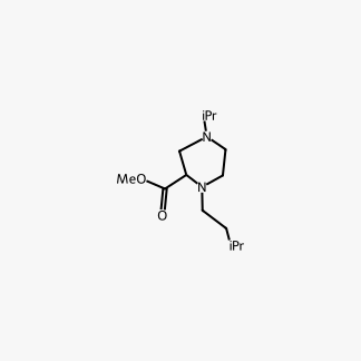 COC(=O)C1CN(C(C)C)CCN1CCC(C)C